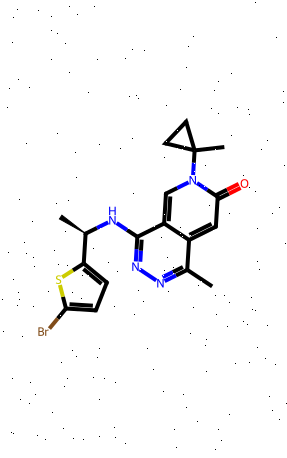 Cc1nnc(N[C@H](C)c2ccc(Br)s2)c2cn(C3(C)CC3)c(=O)cc12